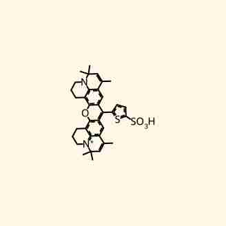 CC1=CC(C)(C)N2CCCc3c4c(cc1c32)C(c1ccc(S(=O)(=O)O)s1)=c1cc2c3c(c1O4)CCC[N+]=3C(C)(C)C=C2C